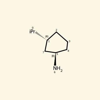 CC(C)[C@@H]1CCC[C@@H](N)C1